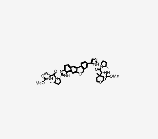 COC(=O)N[C@H](C(=O)N1[C@@H](C)CC[C@H]1c1nc2ccc3cc4c(cc3c2[nH]1)OCc1cc(-c2cnc([C@@H]3CC[C@H](C)N3C(=O)[C@@H](NC(=O)OC)C3(C)CCOCC3)[nH]2)ccc1-4)C(C)C